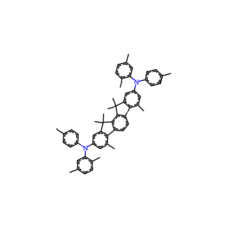 Cc1ccc(N(c2cc(C)c3c(c2)C(C)(C)c2c-3ccc3c2C(C)(C)c2cc(N(c4ccc(C)cc4)c4cc(C)ccc4C)cc(C)c2-3)c2cc(C)ccc2C)cc1